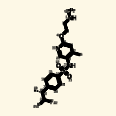 CCCNCCOc1cc(C)c(NS(=O)(=O)c2ccc([C@@H](C)C(F)F)cc2)cn1